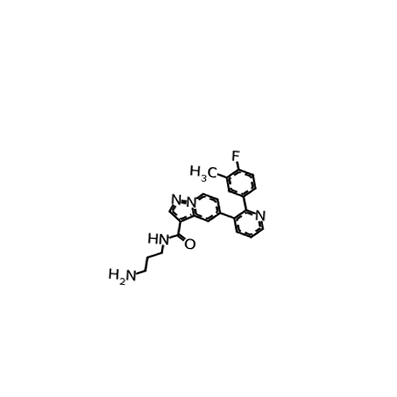 Cc1cc(-c2ncccc2-c2ccn3ncc(C(=O)NCCCN)c3c2)ccc1F